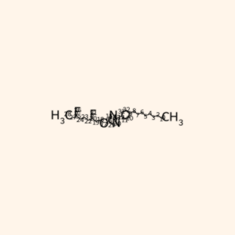 CCCCCCCCCc1ccc(-c2ncc(OCCC(F)CCCC(F)CC)cn2)cc1